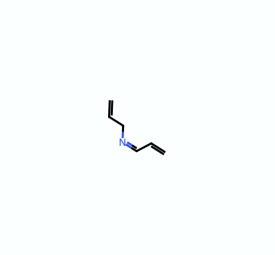 C=C/C=N\CC=C